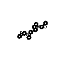 c1ccc2c(c1)oc1ccc(-n3c4cccc5ccc6c(-c7ccc8c(c7)c7ccccc7n8-c7ccc8sc9ccccc9c8c7)ccc3c6c54)cc12